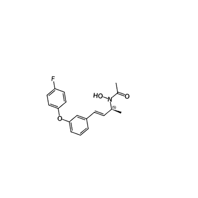 CC(=O)N(O)[C@@H](C)C=Cc1cccc(Oc2ccc(F)cc2)c1